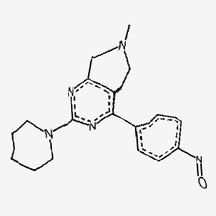 CN1Cc2nc(N3CCCCC3)nc(-c3ccc(N=O)cc3)c2C1